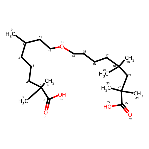 CC(CCCC(C)(C)C(=O)O)CCOCCCCC(C)(C)CC(C)(C)C(=O)O